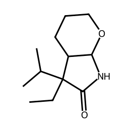 CCC1(C(C)C)C(=O)NC2OCCCC21